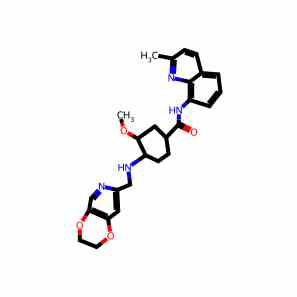 COC1CC(C(=O)Nc2cccc3ccc(C)nc23)CCC1NCc1cc2c(cn1)OCCO2